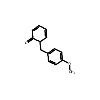 COc1ccc(CC2C=CC=CC2=O)cc1